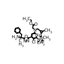 CCOC(=O)CN(CC1CC1C)c1cc(-c2nnc([C@](C)(N)Cc3ccccc3)o2)c(Cl)c(N(C)S(C)(=O)=O)n1